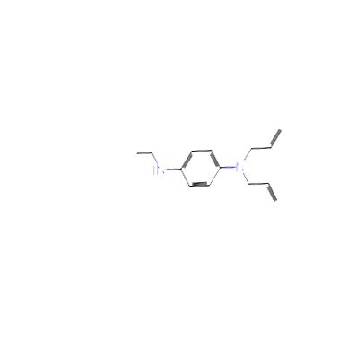 C=CCN(CC=C)c1ccc(NCS(=O)(=O)O)cc1